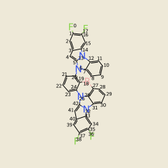 Fc1cc2cc3n4c5c(cccc5n3c2cc1F)B1c2c-4cccc2-n2c3c1cccc3n1c3cc(F)c(F)cc3cc21